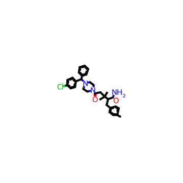 Cc1ccc(CC(C(N)=O)C(C)(C)CC(=O)N2CCN(C(c3ccccc3)c3ccc(Cl)cc3)CC2)cc1